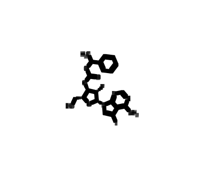 CC(OC(=O)O[C@H]1[C@H](F)[C@H](n2cc(I)c3c(N)ncnc32)O[C@@H]1CO)c1ccccc1